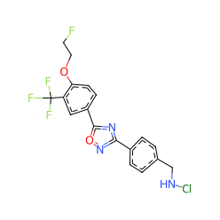 FCCOc1ccc(-c2nc(-c3ccc(CNCl)cc3)no2)cc1C(F)(F)F